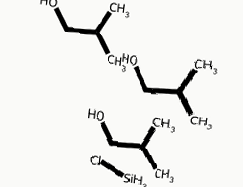 CC(C)CO.CC(C)CO.CC(C)CO.[SiH3]Cl